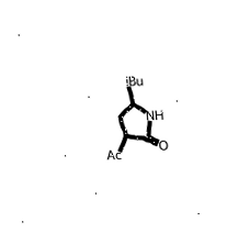 CCC(C)C1CC(C(C)=O)C(=O)N1